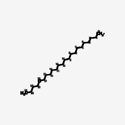 [CH2]CCCCCCCCCCCCCCCCCOCCCC